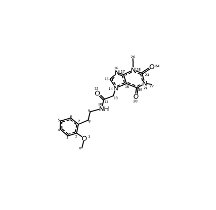 COc1ccccc1CCNC(=O)Cn1cnc2c1c(=O)n(C)c(=O)n2C